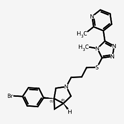 Cc1ncccc1-c1nnc(SCCCN2C[C@@H]3C[C@]3(c3ccc(Br)cc3)C2)n1C